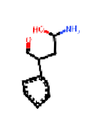 NC(O)CC(C=O)c1ccccc1